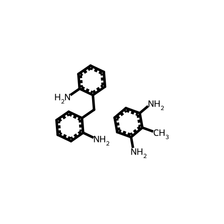 Cc1c(N)cccc1N.Nc1ccccc1Cc1ccccc1N